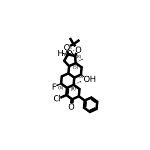 CC1(C)O[C@@H]2CC3C4C[C@H](F)C5=C(Cl)C(=O)C(c6ccccc6)C[C@]5(C)C4[C@@H](O)C[C@]3(C)[C@]2([S])O1